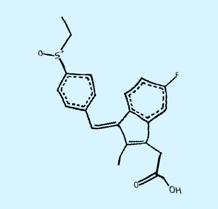 CC[S+]([O-])c1ccc(/C=C2/C(C)=C(CC(=O)O)c3cc(F)ccc32)cc1